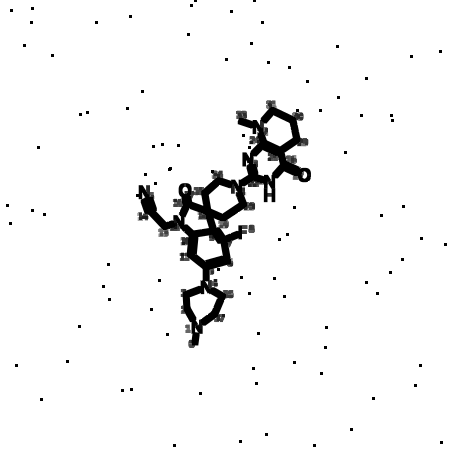 CN1CCN(c2cc(F)c3c(c2)N(CC#N)C(=O)C32CCN(c3nc4c(c(=O)[nH]3)CCCN4C)CC2)CC1